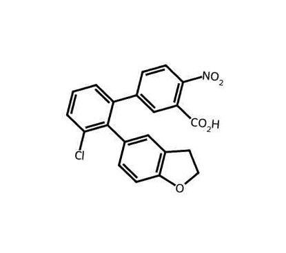 O=C(O)c1cc(-c2cccc(Cl)c2-c2ccc3c(c2)CCO3)ccc1[N+](=O)[O-]